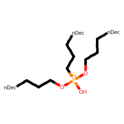 CCCCCCCCCCCCCO[PH](O)(CCCCCCCCCCCCC)OCCCCCCCCCCCCC